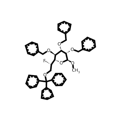 CO[C@H]1O[C@H]([C@@H](F)COC(c2ccccc2)(c2ccccc2)c2ccccc2)[C@@H](OCc2ccccc2)[C@H](OCc2ccccc2)[C@@H]1OCc1ccccc1